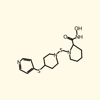 O=C(NO)C1CCCCN1SN1CCC(Sc2ccncc2)CC1